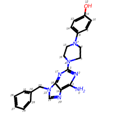 Nc1nc(N2CCN(c3ccc(O)cc3)CC2)nc2c1ncn2Cc1ccccc1